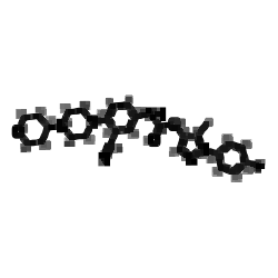 Cc1c(OC(=O)Nc2ccc(N3CCN(C4CCOCC4)CC3)c(C#N)c2)cnn1-c1ccc(F)cc1